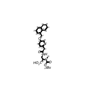 CC(C)(C)OC(=O)N(I)C(CNC(=O)Cc1ccc(OCc2cccc3c2C=CCC3)cn1)C(=O)O